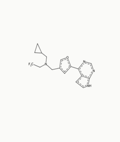 FC(F)(F)CN(Cc1coc(-c2ncnc3[nH]ccc23)c1)CC1CC1